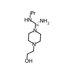 CC(C)N[C@H](N)N1CCN(CCO)CC1